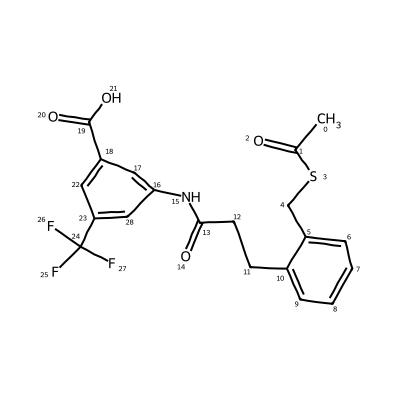 CC(=O)SCc1ccccc1CCC(=O)Nc1cc(C(=O)O)cc(C(F)(F)F)c1